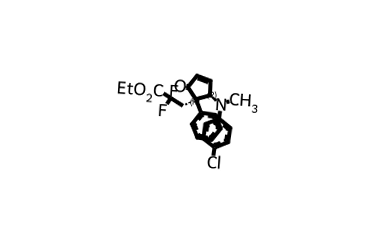 CCOC(=O)C(F)(F)C[C@]1(c2ccccc2)C(=O)C=C[C@H]1N(C)c1ccc(Cl)cc1